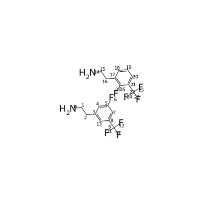 NCCc1cc(F)cc(C(F)(F)F)c1.NCCc1cccc(C(F)(F)F)c1F